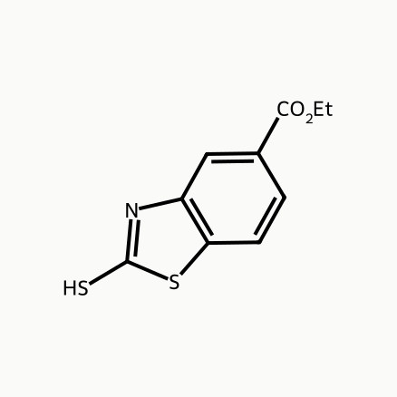 CCOC(=O)c1ccc2sc(S)nc2c1